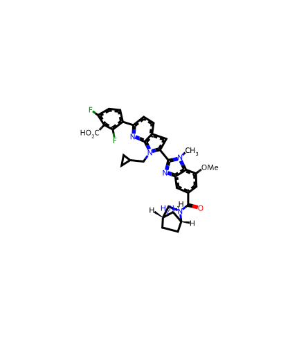 COc1cc(C(=O)N2C[C@H]3CC[C@@H]2[C@@H]3N)cc2nc(-c3cc4ccc(-c5ccc(F)c(C(=O)O)c5F)nc4n3CC3CC3)n(C)c12